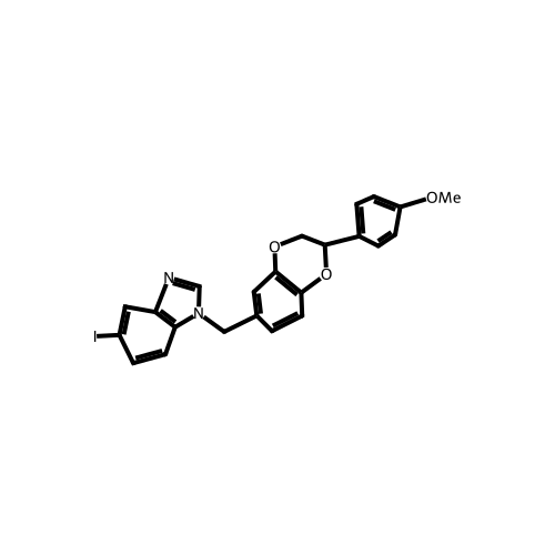 COc1ccc(C2COc3cc(Cn4cnc5cc(I)ccc54)ccc3O2)cc1